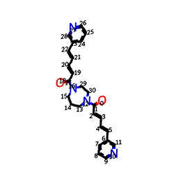 O=C(/C=C/C=C/c1cccnc1)N1CCCN(C(=O)/C=C/C=C/c2cccnc2)CC1